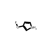 FOC1=C[SiH2]C=C1